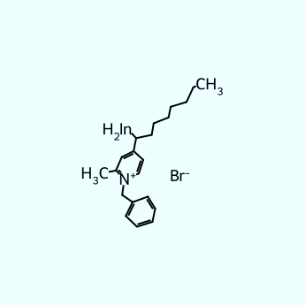 CCCCCCC[CH]([InH2])c1cc[n+](Cc2ccccc2)c(C)c1.[Br-]